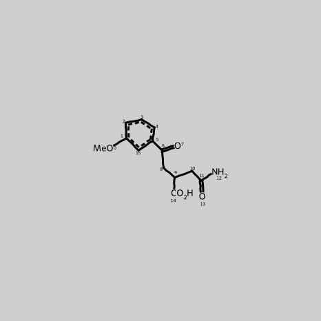 COc1cccc(C(=O)CC(CC(N)=O)C(=O)O)c1